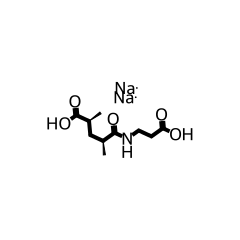 C[C@@H](C[C@H](C)C(=O)NCCC(=O)O)C(=O)O.[Na].[Na]